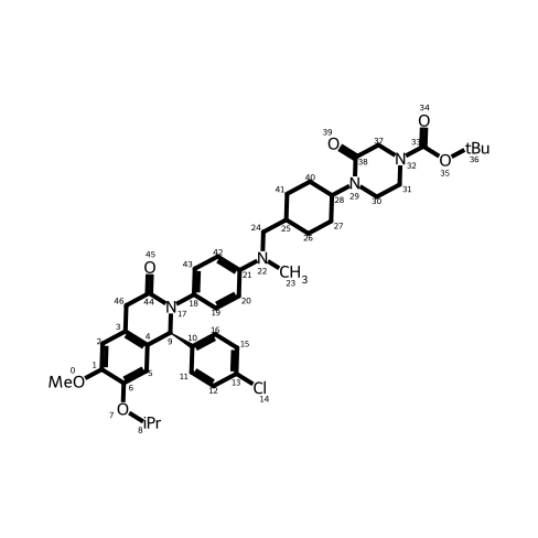 COc1cc2c(cc1OC(C)C)[C@H](c1ccc(Cl)cc1)N(c1ccc(N(C)CC3CCC(N4CCN(C(=O)OC(C)(C)C)CC4=O)CC3)cc1)C(=O)C2